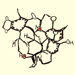 CCC1[C@@H](O)N2[C@@H]3COC(=O)[C@]4(CS[C@@H](c5c(OC(C)=O)c(C)c6c(c53)OCO6)[C@@H]2C(c2ccc(C)c(OC)c2O)N1C)NCCc1cc(O)c(OC)cc14